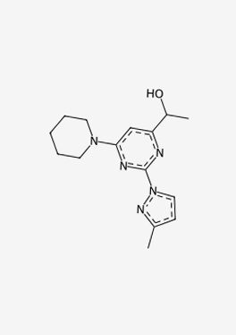 Cc1ccn(-c2nc(C(C)O)cc(N3CCCCC3)n2)n1